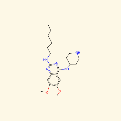 CCCCCCNc1nc(NC2CCNCC2)c2cc(OC)c(OC)cc2n1